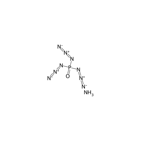 N.[N-]=[N+]=NP(=O)(N=[N+]=[N-])N=[N+]=[N-]